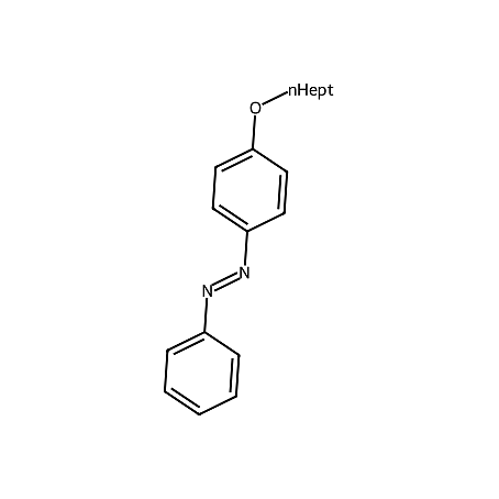 CCCCCCCOc1ccc(N=Nc2ccccc2)cc1